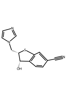 N#Cc1ccc2c(c1)S[C@@H](Cn1ccnc1)[C@H]2O